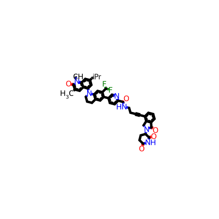 Cc1cc2c(N3CCCc4cc(-c5ccc(C(=O)NCCC#Cc6cccc7c6CN(C6CCC(=O)NC6=O)C7=O)nc5)c(C(F)F)cc43)cc(C(C)C)cc2n(C)c1=O